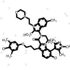 Cc1ccc2c(c1)c(N1C[C@@H](C)n3c(c(CCCOc4cc(C)c(Cl)c(C)c4)c4ccc(Cl)c(-c5c(C)nn(C)c5C)c43)C1=O)c(C(=O)O)n2CCN1CCOCC1